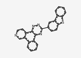 c1ccc2c(c1)sc1ccc(-c3nnc4c5ccncc5c5ccccc5c4n3)cc12